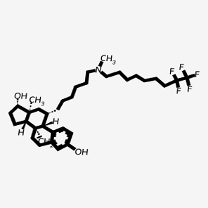 C=C[C@@]12CCc3cc(O)ccc3[C@H]1[C@@H](CCCCCCN(C)CCCCCCCC(F)(F)C(F)(F)F)C[C@@]1(C)[C@H]2CC[C@@H]1O